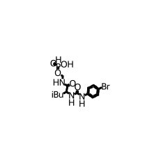 CCC(C)C(NC(=O)Nc1ccc(Br)cc1)C(=O)NCO[PH](=O)O